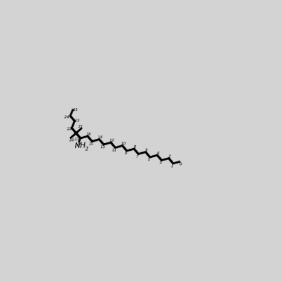 CCCCCCCCCCCCCCCCCC(N)C(C)(C)CCCC